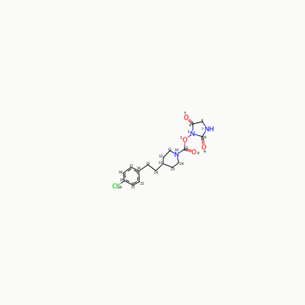 O=C(ON1C(=O)CNC1=O)N1CCC(CCc2ccc(Cl)cc2)CC1